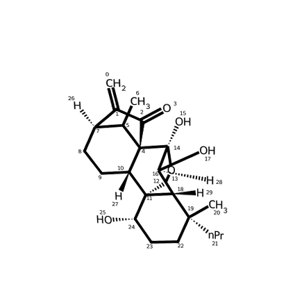 C=C1C(=O)[C@]23C(C)[C@H]1CC[C@H]2[C@@]12CO[C@@]3(O)[C@@H](O)[C@@H]1[C@](C)(CCC)CC[C@@H]2O